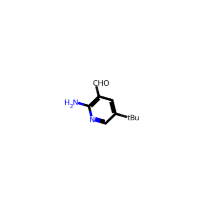 CC(C)(C)c1cnc(N)c(C=O)c1